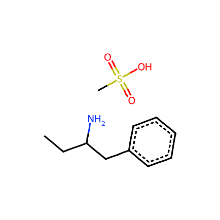 CCC(N)Cc1ccccc1.CS(=O)(=O)O